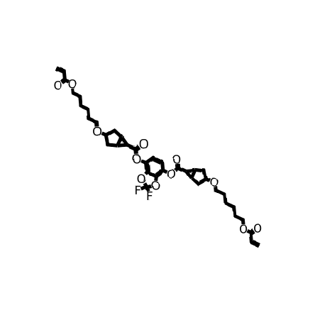 C=CC(=O)OCCCCCCOC1CC2C(C1)C2C(=O)Oc1ccc(OC(=O)C2C3CC(OCCCCCCOC(=O)C=C)CC32)c2c1OC(F)(F)O2